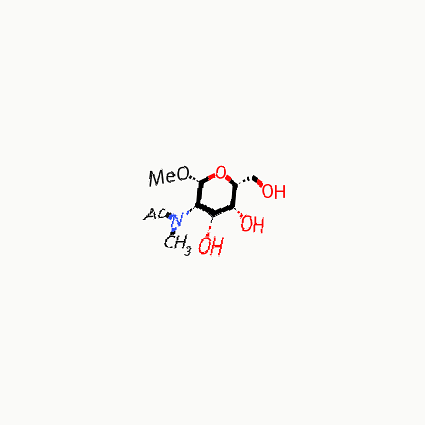 CO[C@@H]1O[C@H](CO)[C@H](O)[C@H](O)[C@@H]1N(C)C(C)=O